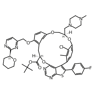 Cc1c2ccc(c1Cl)O[C@H](CN1CCN(C)CC1)COc1ccc(OCc3ccnc([C@@H]4CCCCO4)n3)c(c1)C[C@H](C(=O)OC(C)(C)C)Oc1ncnc3sc(-c4ccc(F)cc4)c-2c13